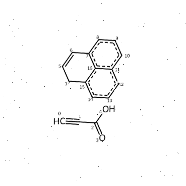 C#CC(=O)O.C1=Cc2cccc3cccc(c23)C1